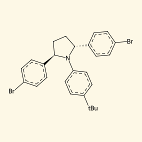 CC(C)(C)c1ccc(N2[C@@H](c3ccc(Br)cc3)CC[C@@H]2c2ccc(Br)cc2)cc1